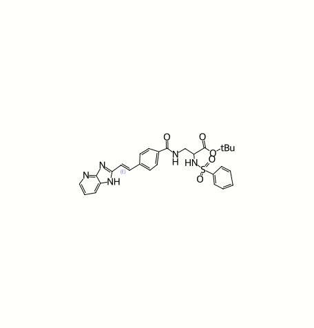 CC(C)(C)OC(=O)C(CNC(=O)c1ccc(/C=C/c2nc3ncccc3[nH]2)cc1)NS(=O)(=O)c1ccccc1